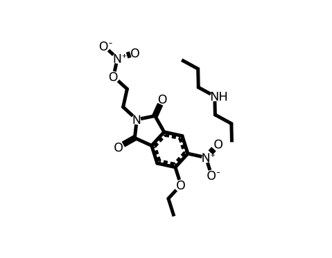 CCCNCCC.CCOc1cc2c(cc1[N+](=O)[O-])C(=O)N(CCO[N+](=O)[O-])C2=O